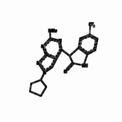 CNc1nc(C2C(=O)Nc3ccc(C(F)(F)F)cc32)c2cn(C3CCCC3)nc2n1